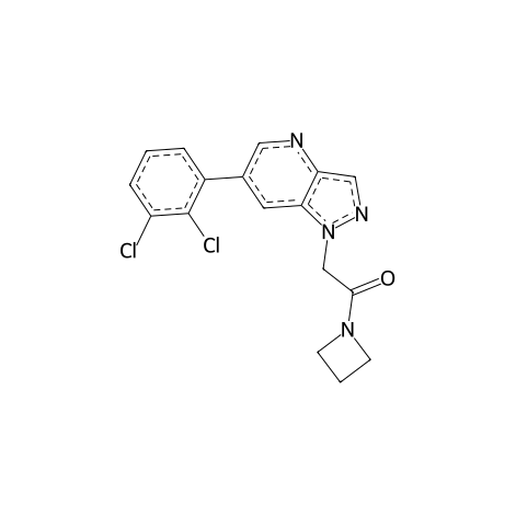 O=C(Cn1ncc2ncc(-c3cccc(Cl)c3Cl)cc21)N1CCC1